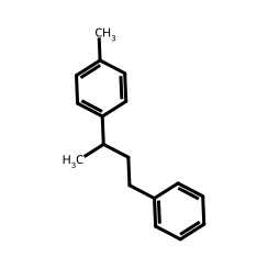 Cc1ccc(C(C)CCc2ccccc2)cc1